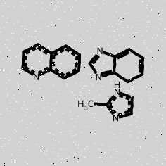 C1=CCC2=NC=NC2=C1.Cc1ncc[nH]1.c1ccc2ncccc2c1